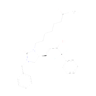 COC(=O)CCCCCCN1C(=O)N(Cc2ccccc2)C[C@@H]1/C=C/C(O)C(F)(F)c1ccccc1